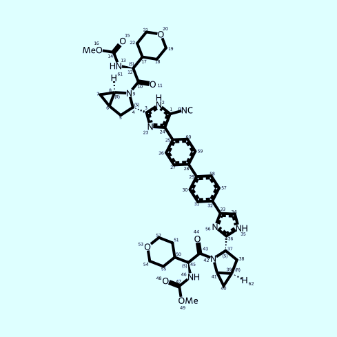 [C-]#[N+]c1[nH]c([C@@H]2CC3C[C@H]3N2C(=O)[C@@H](NC(=O)OC)C2CCOCC2)nc1-c1ccc(-c2ccc(-c3c[nH]c([C@@H]4C[C@H]5CC5N4C(=O)[C@@H](NC(=O)OC)C4CCOCC4)n3)cc2)cc1